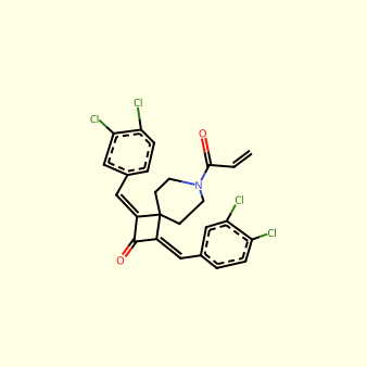 C=CC(=O)N1CCC2(CC1)/C(=C\c1ccc(Cl)c(Cl)c1)C(=O)/C2=C/c1ccc(Cl)c(Cl)c1